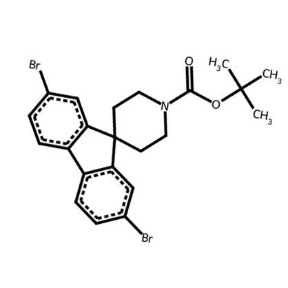 CC(C)(C)OC(=O)N1CCC2(CC1)c1cc(Br)ccc1-c1ccc(Br)cc12